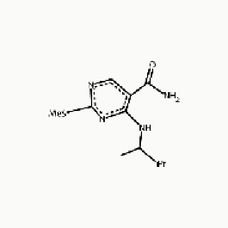 CSc1ncc(C(N)=O)c(NC(C)C(C)C)n1